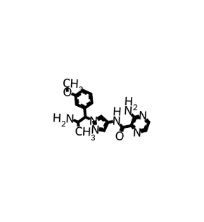 COc1cccc(C(C(C)N)n2cc(NC(=O)c3nccnc3N)cn2)c1